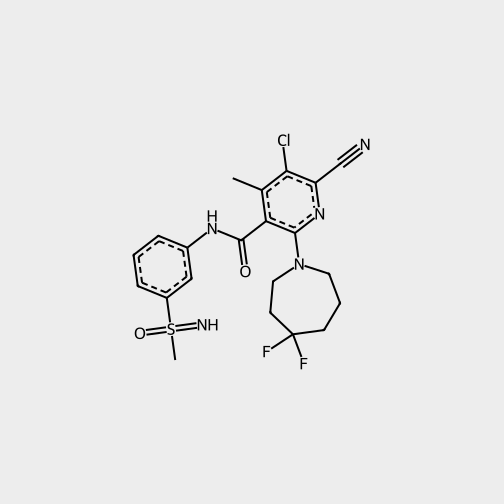 Cc1c(Cl)c(C#N)nc(N2CCCC(F)(F)CC2)c1C(=O)Nc1cccc(S(C)(=N)=O)c1